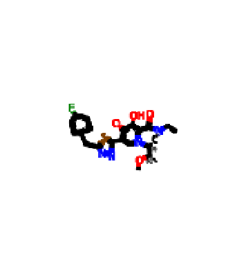 CCN1C[C@H]([C@H](C)OC)n2cc(-c3nnc(Cc4ccc(F)cc4)s3)c(=O)c(O)c2C1=O